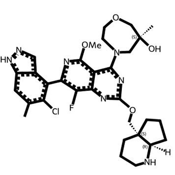 COc1nc(-c2c(Cl)c(C)cc3[nH]ncc23)c(F)c2nc(OC[C@@]34CCCN[C@@H]3CCC4)nc(N3CCOC[C@@](C)(O)C3)c12